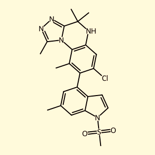 Cc1cc(-c2c(Cl)cc3c(c2C)-n2c(C)nnc2C(C)(C)N3)c2ccn(S(C)(=O)=O)c2c1